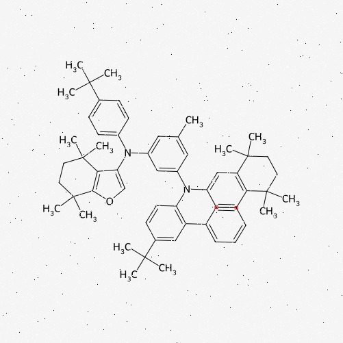 Cc1cc(N(c2ccc3c(c2)C(C)(C)CCC3(C)C)c2ccc(C(C)(C)C)cc2-c2ccccc2)cc(N(c2ccc(C(C)(C)C)cc2)c2coc3c2C(C)(C)CCC3(C)C)c1